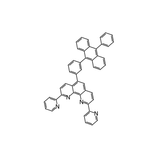 c1ccc(-c2c3ccccc3c(-c3cccc(-c4cc5ccc(-c6ccccn6)nc5c5nc(-c6ccccn6)ccc45)c3)c3ccccc23)cc1